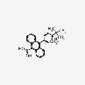 C=C(/C=C\C(=C/C)c1c2ccccc2c(B(O)O)c2ccccc12)C(C)(C)C